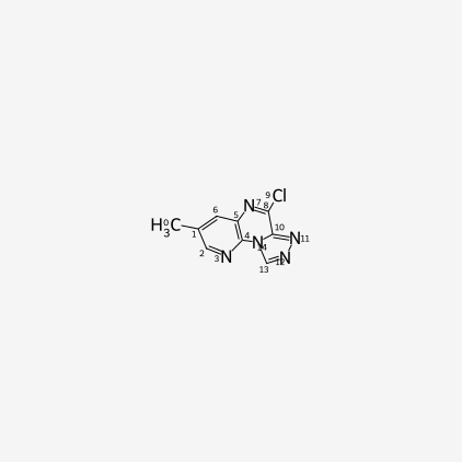 Cc1cnc2c(c1)nc(Cl)c1nncn12